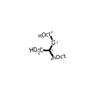 CCCCCCCCOC(CCCCCCCC)C(=O)O